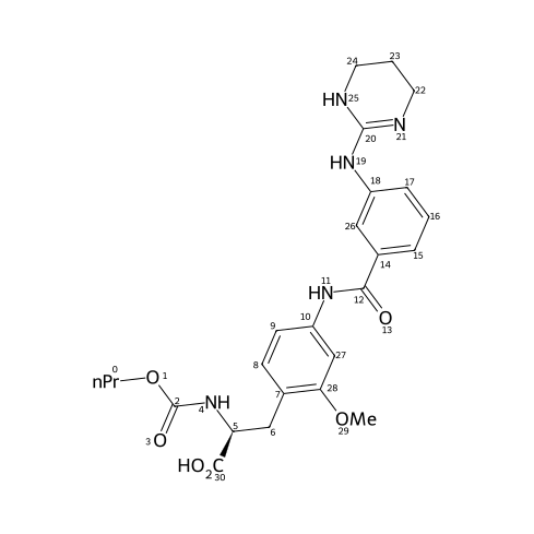 CCCOC(=O)N[C@@H](Cc1ccc(NC(=O)c2cccc(NC3=NCCCN3)c2)cc1OC)C(=O)O